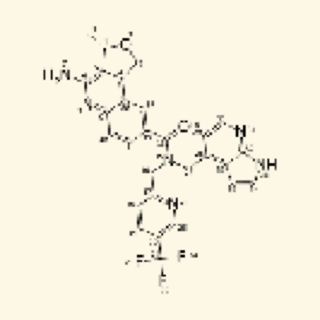 C[C@@H]1OCc2c1c(N)nc1ccc(C(=O)N(Cc3ccc(C(F)(F)F)cn3)Cc3ccnc4[nH]ccc34)cc21